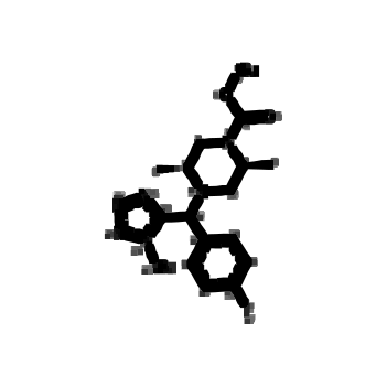 C[C@@H]1CN(C(=O)OC(C)(C)C)[C@@H](C)CN1C(c1ccc(F)cc1)c1nnnn1C(C)(C)C